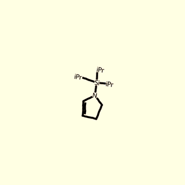 CC(C)[Si](C(C)C)(C(C)C)N1C=CCC1